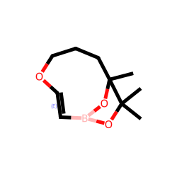 CC1(C)OB2/C=C/OCCCC1(C)O2